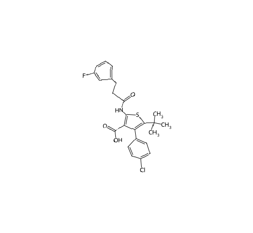 CC(C)(C)c1sc(NC(=O)CCc2cccc(F)c2)c(C(=O)O)c1-c1ccc(Cl)cc1